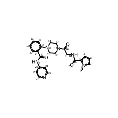 Cn1cccc1C(=O)NCC(=O)N1CCN(c2ccccc2C(=O)Nc2ccncc2)CC1